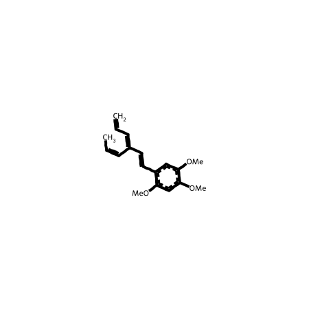 C=C/C=C(\C=C/C)/C=C/c1cc(OC)c(OC)cc1OC